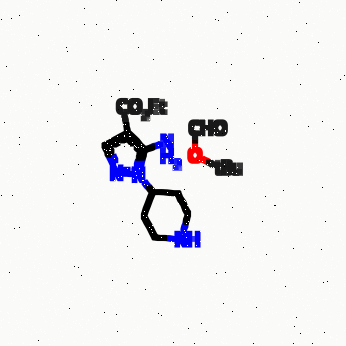 CC(C)(C)OC=O.CCOC(=O)c1cnn(C2CCNCC2)c1N